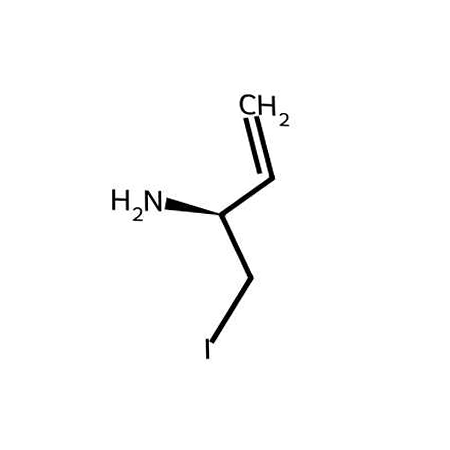 C=C[C@H](N)CI